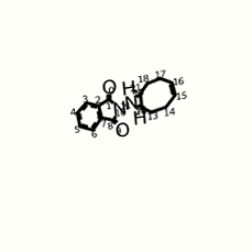 O=C1c2ccccc2C(=O)N1N1[C@@H]2CC/C=C\CC[C@@H]21